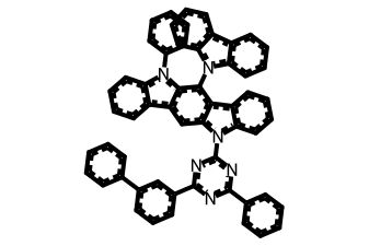 c1ccc(-c2cccc(-c3nc(-c4ccccc4)nc(-n4c5ccccc5c5c(-n6c7ccccc7c7ccccc76)c6c(cc54)c4ccccc4n6-c4ccccc4)n3)c2)cc1